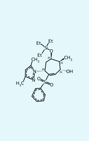 CC[Si](CC)(CC)O[C@@H]1C[C@@H](n2nc(C)cc2C)C(S(=O)(=O)c2ccccc2)=C[C@@H](O)[C@@H]1C